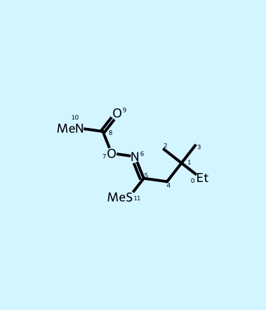 CCC(C)(C)CC(=NOC(=O)NC)SC